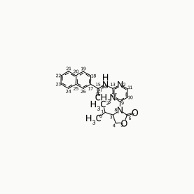 CC(C)C1COC(=O)N1c1ccnc(N[C@@H](C)c2ccc3ccccc3c2)n1